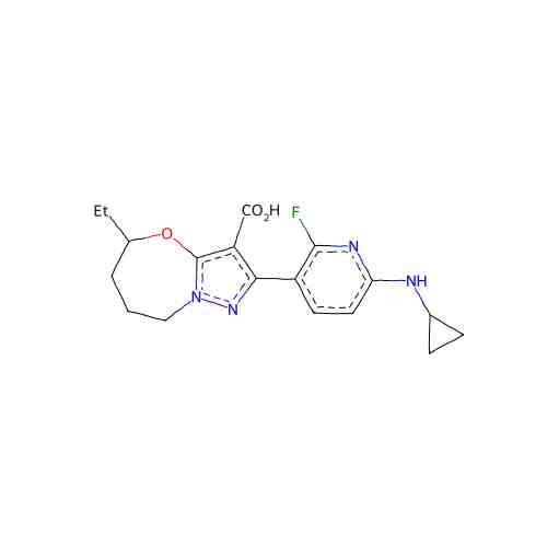 CCC1CCCn2nc(-c3ccc(NC4CC4)nc3F)c(C(=O)O)c2O1